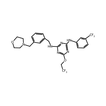 FC(F)(F)COc1nc(NCc2cccc(CN3CCOCC3)c2)nc(Nc2cccc(C(F)(F)F)c2)n1